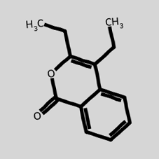 CCc1oc(=O)c2ccccc2c1CC